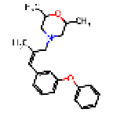 CC(=Cc1cccc(Oc2ccccc2)c1)CN1CC(C)OC(C)C1